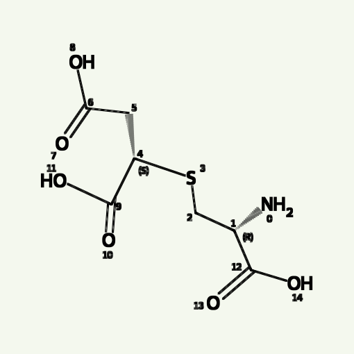 N[C@@H](CS[C@@H](CC(=O)O)C(=O)O)C(=O)O